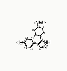 CNC1CCC(c2[nH]ncc2-c2ccc(Cl)cc2)CC1